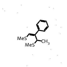 CSC=C(c1ccccc1)C(C)SC